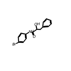 O=C(Nc1ccc(Br)cc1)C(O)Cc1ccccc1